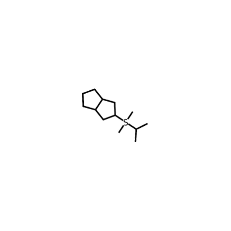 CC(C)S(C)(C)C1CC2CCCC2C1